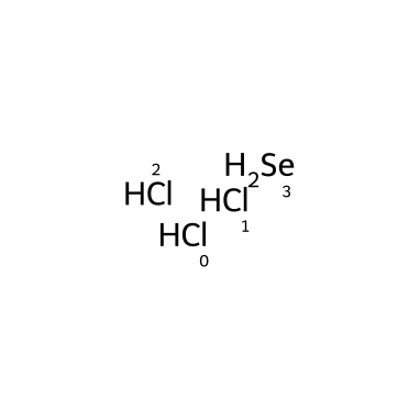 Cl.Cl.Cl.[SeH2]